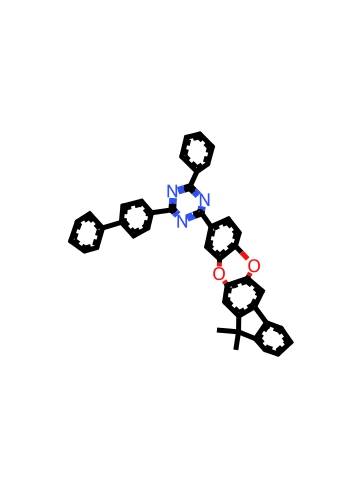 CC1(C)c2ccccc2-c2cc3c(cc21)Oc1cc(-c2nc(-c4ccccc4)nc(-c4ccc(-c5ccccc5)cc4)n2)ccc1O3